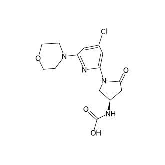 O=C(O)N[C@@H]1CC(=O)N(c2cc(Cl)cc(N3CCOCC3)n2)C1